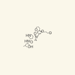 COCCCOc1cc(CN(C(=O)[C@H]2CNC[C@@H](C(=O)NC(CO)CC(C)C)C2)C2CC2)cc2c1CCCO2